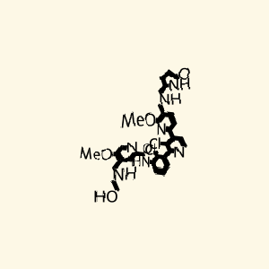 COc1cnc(C(=O)Nc2cccc(-c3nccc(-c4ccc(CNCC5CCC(=O)N5)c(OC)n4)c3Cl)c2Cl)cc1CNCCO